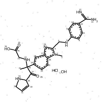 Cl.Cl.Cn1c(CNc2ccc(C(=N)N)cc2)nc2cc(C(C)(NCC(=O)O)C(=O)C3C=CCN3)ccc21